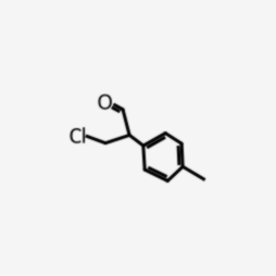 Cc1ccc(C(C=O)CCl)cc1